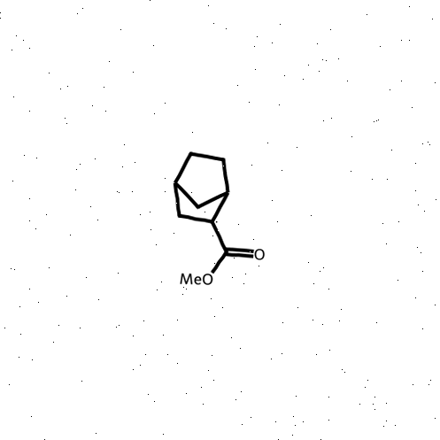 COC(=O)[C]1CC2CCC1C2